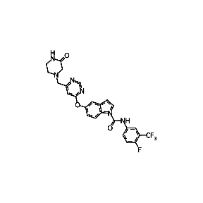 O=C1CN(Cc2cc(Oc3ccc4c(ccn4C(=O)Nc4ccc(F)c(C(F)(F)F)c4)c3)ncn2)CCN1